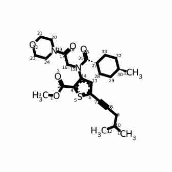 COC(=O)c1sc(C#CCC(C)C)cc1N(CC(=O)N1CCOCC1)C(=O)[C@H]1CC[C@H](C)CC1